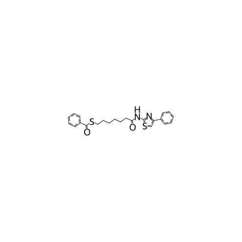 O=C(CCCCCCSC(=O)c1ccccc1)Nc1nc(-c2ccccc2)cs1